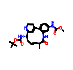 COC(=O)Nc1ccc2c(c1)NC(=O)[C@@H](C)/C=C/C[C@H](NC(=O)OC(C)(C)C)c1cc-2ccn1